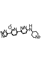 COc1nc(-c2ccc(NC3CCNCC3)nn2)ccc1-c1cnn(C)n1